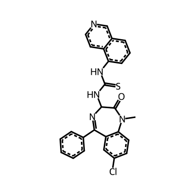 CN1C(=O)C(NC(=S)Nc2cccc3cnccc23)N=C(c2ccccc2)c2cc(Cl)ccc21